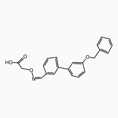 O=C(O)CO/N=C\c1cccc(-c2cccc(OCc3ccccc3)c2)c1